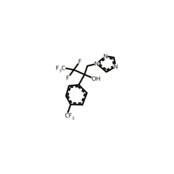 OC(Cn1cncn1)(c1ccc(C(F)(F)F)cc1)C(F)(F)C(F)(F)F